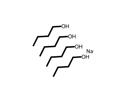 CCCCO.CCCCO.CCCCO.CCCCO.[Na]